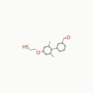 Cc1cc(OCCS)cc(C)c1-c1cccc(C=O)c1